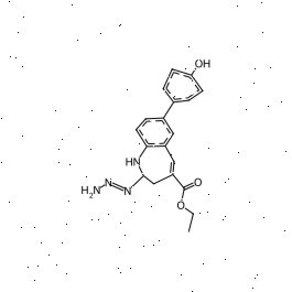 CCOC(=O)C1=Cc2cc(-c3ccc(O)cc3)ccc2NC(N=NN)C1